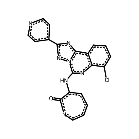 O=c1nccccc1Nc1nc2c(Cl)cccc2c2nc(-c3ccncc3)nn12